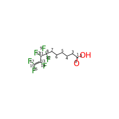 O=C(O)CCCCCC(F)(F)C(F)C(F)=C(F)F